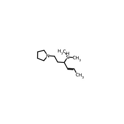 CC=CC(CCN1CCCC1)[SiH](C)C